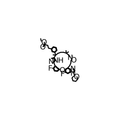 CCOC(=O)CCc1cccc(C2(C)CCCC(C)(C)CN(C)C(=O)CCc3c(c(F)cc4c3ncn4C3CCCCO3)Oc3ccc(F)c(c3)-c3ncc2[nH]3)c1